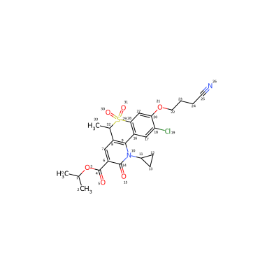 CC(C)OC(=O)c1cc2c(n(C3CC3)c1=O)-c1cc(Cl)c(OCCCC#N)cc1S(=O)(=O)C2C